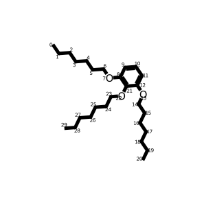 CCCCCCCOc1c[c]cc(OCCCCCCC)c1OCCCCCCC